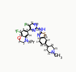 CC(C)N1CCOc2c(F)cc(-c3nc(Nc4nc5ccc(C6CCN(C)CC6)cc5s4)ncc3F)cc21